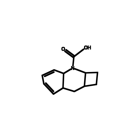 O=C(O)N1C2C=CC=CC2CC2CCC21